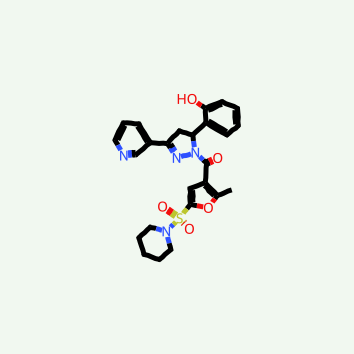 Cc1oc(S(=O)(=O)N2CCCCC2)cc1C(=O)N1N=C(c2cccnc2)CC1c1ccccc1O